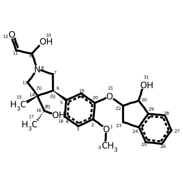 COc1ccc([C@@H]2CN(C(O)C=O)C[C@@]2(C)[C@@H](C)O)cc1OC1Cc2ccccc2C1O